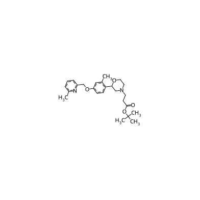 Cc1cccc(COc2ccc(C3CN(CCC(=O)OC(C)(C)C)CCO3)c(C)c2)n1